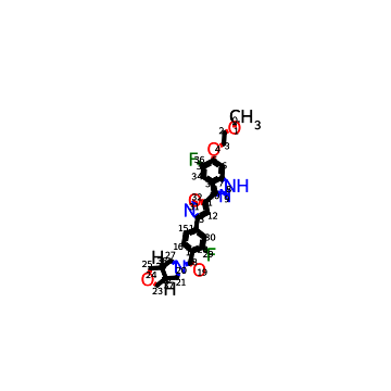 COCCOc1cc2[nH]nc(-c3cc(-c4ccc(C(=O)N5C[C@H]6COC[C@H]6C5)c(F)c4)no3)c2cc1F